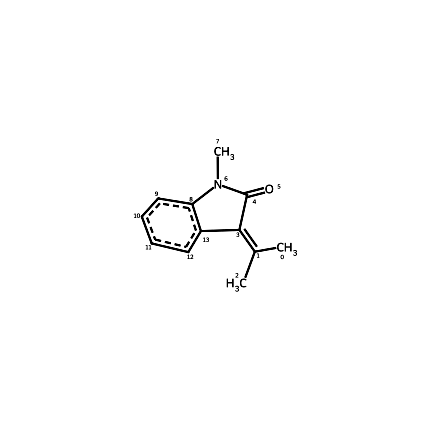 CC(C)=C1C(=O)N(C)c2ccccc21